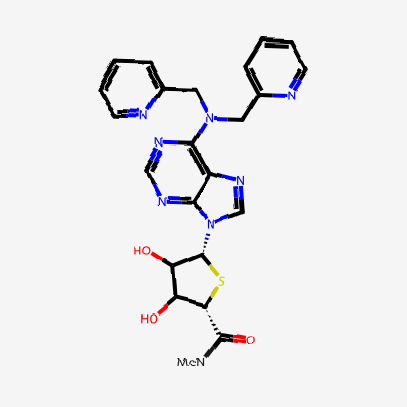 CNC(=O)[C@H]1S[C@@H](n2cnc3c(N(Cc4ccccn4)Cc4ccccn4)ncnc32)C(O)C1O